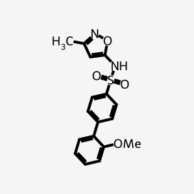 COc1ccccc1-c1ccc(S(=O)(=O)Nc2cc(C)no2)cc1